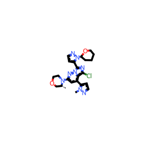 C[C@@H]1COCCN1c1cc(-c2ccnn2C)c2c(Cl)nc(-c3ccnn3C3CCCCO3)n2n1